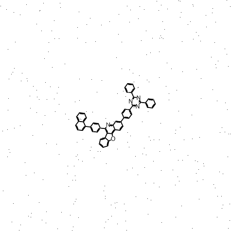 c1ccc(-c2nc(-c3ccccc3)nc(-c3ccc(-c4ccc5c(c4)nc(-c4ccc(-c6cccc7ccccc67)cc4)c4c6ccccc6oc54)cc3)n2)cc1